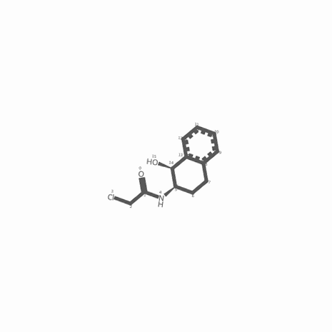 O=C(CCl)N[C@@H]1CCc2ccccc2[C@@H]1O